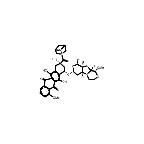 COc1cccc2c1C(=O)c1c(O)c3c(c(O)c1C2=O)C[C@@](O)(C(=O)N1CC2CC(C1)N2C(C)=O)C[C@@H]3O[C@H]1C[C@H]2[C@H](O[C@@H]3[C@@H](OC)OCCN32)[C@H](C)O1